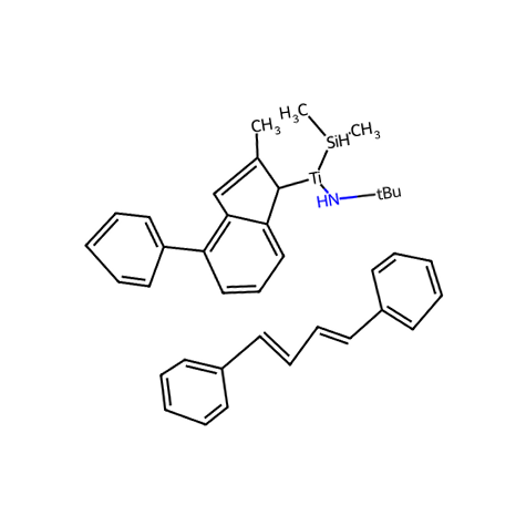 C(C=Cc1ccccc1)=Cc1ccccc1.CC1=Cc2c(-c3ccccc3)cccc2[CH]1[Ti]([NH]C(C)(C)C)[SiH](C)C